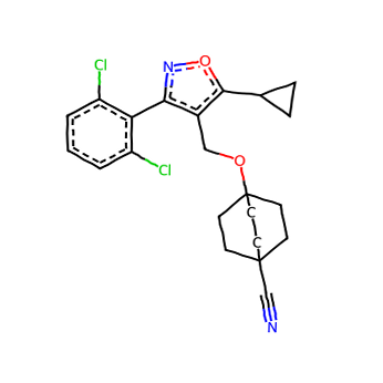 N#CC12CCC(OCc3c(-c4c(Cl)cccc4Cl)noc3C3CC3)(CC1)CC2